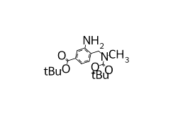 CN(Cc1ccc(C(=O)OC(C)(C)C)cc1N)C(=O)OC(C)(C)C